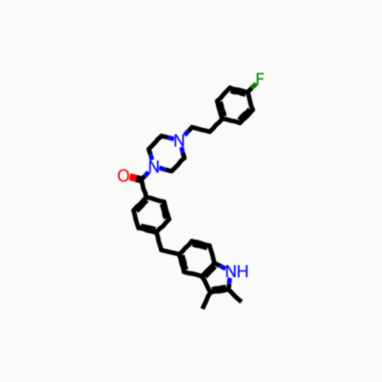 Cc1[nH]c2ccc(Cc3ccc(C(=O)N4CCN(CCc5ccc(F)cc5)CC4)cc3)cc2c1C